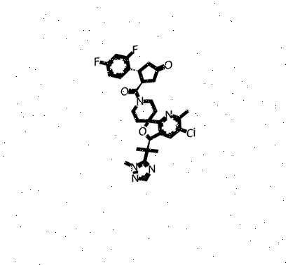 Cc1nc2c(cc1Cl)[C@@H](C(C)(C)c1ncnn1C)OC21CCN(C(=O)[C@@H]2CC(=O)C[C@H]2c2ccc(F)cc2F)CC1